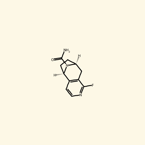 NC(=O)N1[C@H]2CC[C@@H]1c1ccnc(F)c1C2